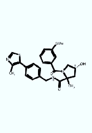 COc1cccc(C(=O)N2C[C@H](O)CC2(C)C(=O)NCc2ccc(-c3scnc3C)cc2)c1